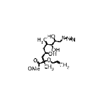 C=CCOC(C)(CC(O)CC(C)[C@H](O)C(O)CN=[N+]=[N-])C(=O)OC